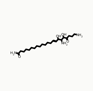 NCCCC(=O)C(O)C(N)C(O)C=CCCCCCCCCCCCCC(N)=O